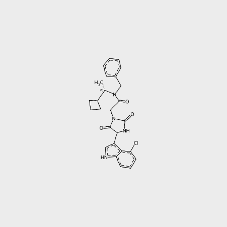 C[C@@H](C1CCC1)N(Cc1ccccc1)C(=O)CN1C(=O)NC(c2c[nH]c3cccc(Cl)c23)C1=O